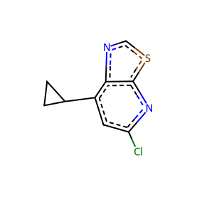 Clc1cc(C2CC2)c2ncsc2n1